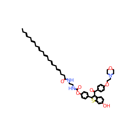 CCC=CCC=CCC=CCC=CCC=CCC=CCCC(=O)NCCNC(=O)Oc1ccc(-c2sc3cc(O)ccc3c2C(=O)c2ccc(OCCN3CCOCC3)cc2)cc1